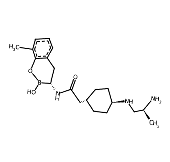 Cc1cccc2c1OB(O)[C@@H](NC(=O)C[C@H]1CC[C@H](NC[C@H](C)N)CC1)C2